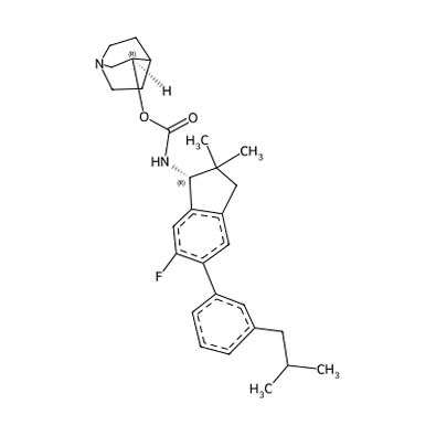 CC(C)Cc1cccc(-c2cc3c(cc2F)[C@H](NC(=O)O[C@H]2CN4CCC2CC4)C(C)(C)C3)c1